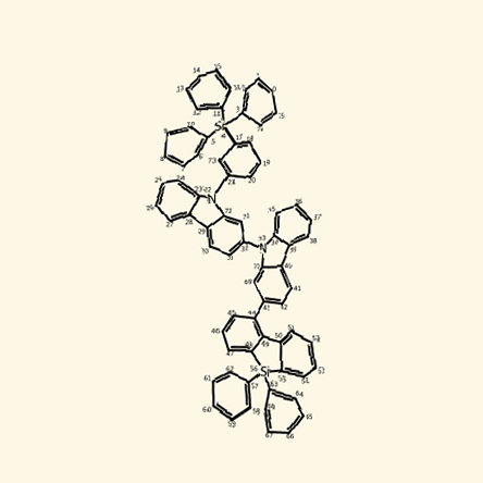 c1ccc([Si](c2ccccc2)(c2ccccc2)c2cccc(-n3c4ccccc4c4ccc(-n5c6ccccc6c6ccc(-c7cccc8c7-c7ccccc7[Si]8(c7ccccc7)c7ccccc7)cc65)cc43)c2)cc1